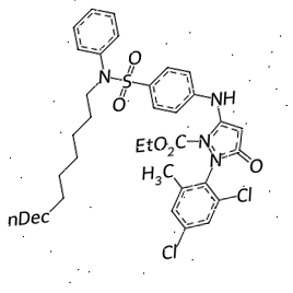 CCCCCCCCCCCCCCCCN(c1ccccc1)S(=O)(=O)c1ccc(Nc2cc(=O)n(-c3c(C)cc(Cl)cc3Cl)n2C(=O)OCC)cc1